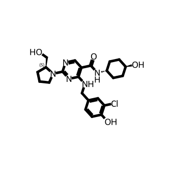 O=C(N[C@H]1CC[C@H](O)CC1)c1cnc(N2CCC[C@H]2CO)nc1NCc1ccc(O)c(Cl)c1